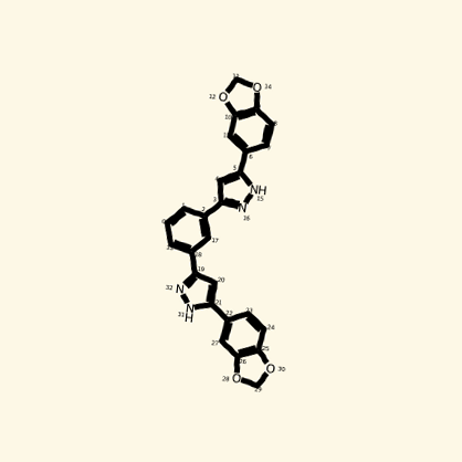 c1cc(-c2cc(-c3ccc4c(c3)OCO4)[nH]n2)cc(-c2cc(-c3ccc4c(c3)OCO4)[nH]n2)c1